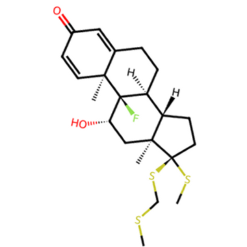 CSCS[C@]1(SC)CC[C@H]2[C@@H]3CCC4=CC(=O)C=C[C@]4(C)[C@@]3(F)[C@@H](O)C[C@@]21C